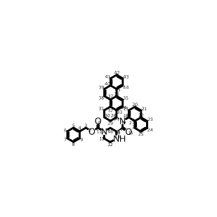 O=C(OCc1ccccc1)N1CCN[C@H](C(=O)N(c2cccc3ccccc23)[C@@H]2CCCc3c2ccc2c3ccc3ccccc32)C1